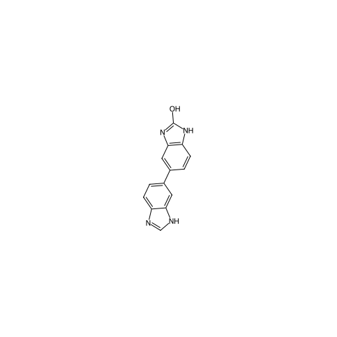 Oc1nc2cc(-c3ccc4nc[nH]c4c3)ccc2[nH]1